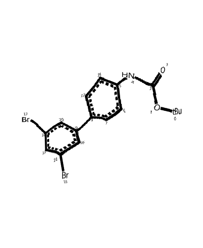 CC(C)(C)OC(=O)Nc1ccc(-c2cc(Br)cc(Br)c2)cc1